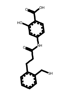 O=C(CCc1ccccc1CS)Nc1ccc(C(=O)O)c(O)c1